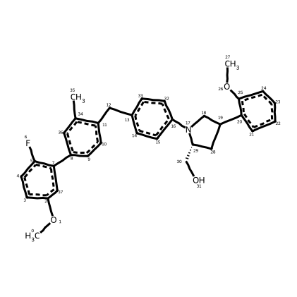 COc1ccc(F)c(-c2ccc(Cc3ccc(N4CC(c5ccccc5OC)C[C@@H]4CO)cc3)c(C)c2)c1